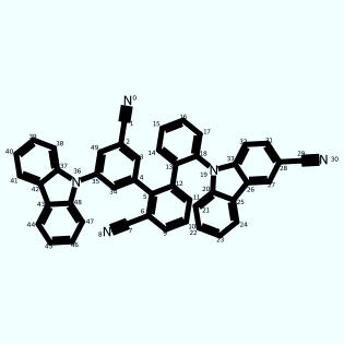 N#Cc1cc(-c2c(C#N)cccc2-c2ccccc2-n2c3ccccc3c3cc(C#N)ccc32)cc(-n2c3ccccc3c3ccccc32)c1